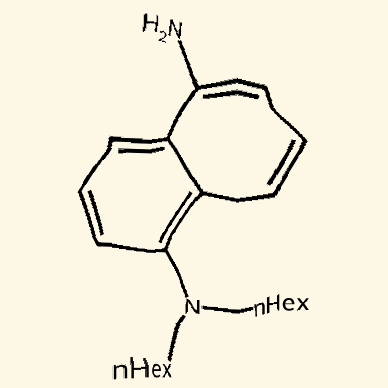 CCCCCCN(CCCCCC)c1cccc2c(N)cccc12